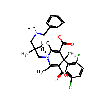 CC1=C(C(=O)O)C(C)(c2cc(Cl)ccc2F)C(C(=O)O)=C(C)N1CC(C)(C)CN(C)Cc1ccccc1